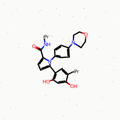 CC(C)NC(=O)c1ccc(-c2cc(C(C)C)c(O)cc2O)n1-c1ccc(N2CCOCC2)cc1